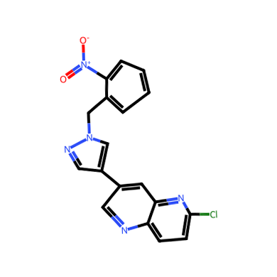 O=[N+]([O-])c1ccccc1Cn1cc(-c2cnc3ccc(Cl)nc3c2)cn1